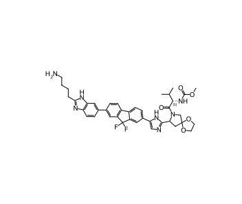 COC(=O)N[C@H](C(=O)N1CC2(CC1c1ncc(-c3ccc4c(c3)C(F)(F)c3cc(-c5ccc6nc(CCCCN)[nH]c6c5)ccc3-4)[nH]1)OCCO2)C(C)C